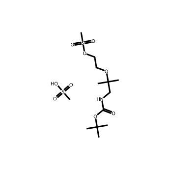 CC(C)(C)OC(=O)NCC(C)(C)OCCOS(C)(=O)=O.CS(=O)(=O)O